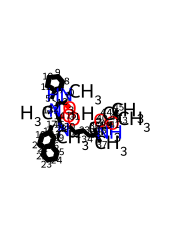 CNC(=O)[C@@H](Cc1ccccc1)N(C)C(=O)[C@@H](Cc1ccc2ccccc2c1)N(C)C(=O)C=CCC(C)(C)NC(=O)OC(C)(C)C